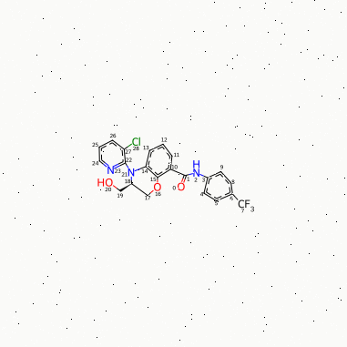 O=C(Nc1ccc(C(F)(F)F)cc1)c1cccc2c1OC[C@@H](CO)N2c1ncccc1Cl